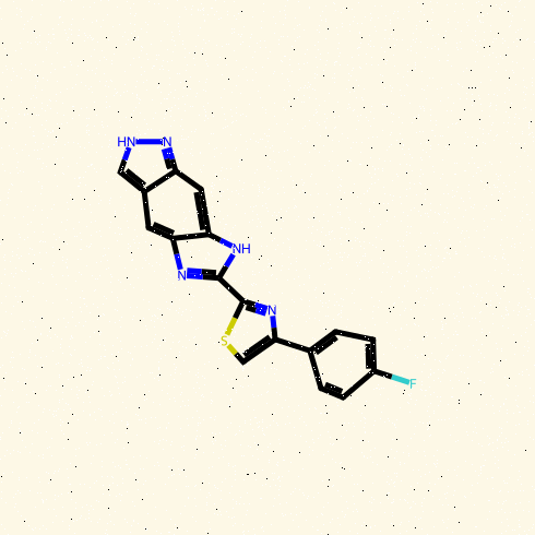 Fc1ccc(-c2csc(-c3nc4cc5c[nH]nc5cc4[nH]3)n2)cc1